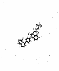 O=C(Cn1c(=O)n(-c2ccc(-c3cccn4cnc(I)c34)cc2)c2ccccc21)NCC(F)(F)F